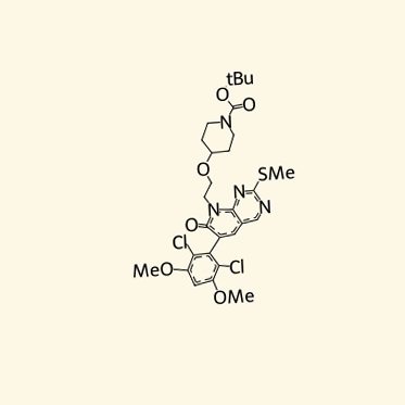 COc1cc(OC)c(Cl)c(-c2cc3cnc(SC)nc3n(CCOC3CCN(C(=O)OC(C)(C)C)CC3)c2=O)c1Cl